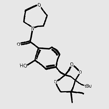 CC(C)(C)C12OOC1(c1ccc(C(=O)N3CCOCC3)c(O)c1)OCC2(C)C